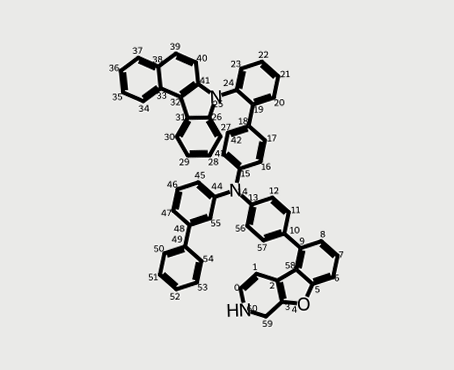 C1=Cc2c(oc3cccc(-c4ccc(N(c5ccc(-c6ccccc6-n6c7ccccc7c7c8ccccc8ccc76)cc5)c5cccc(-c6ccccc6)c5)cc4)c23)CN1